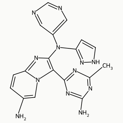 Cc1nc(N)nc(-c2c(N(c3cncnc3)c3cc[nH]n3)nc3ccc(N)cn23)n1